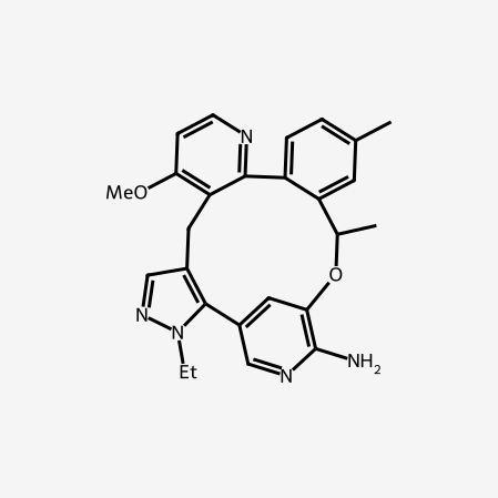 CCn1ncc2c1-c1cnc(N)c(c1)OC(C)c1cc(C)ccc1-c1nccc(OC)c1C2